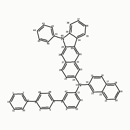 c1ccc(-c2ccc(-c3cccc(N(c4ccc5ccccc5c4)c4ccc5cc6c(cc5c4)c4ccccc4n6-c4ccccc4)c3)cc2)cc1